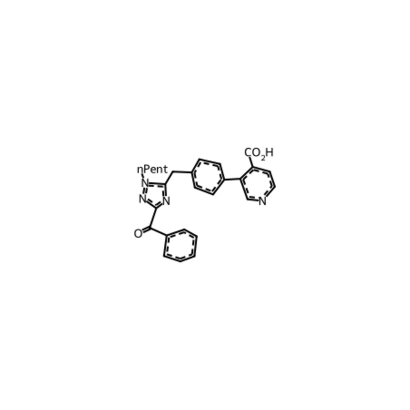 CCCCCn1nc(C(=O)c2ccccc2)nc1Cc1ccc(-c2cnccc2C(=O)O)cc1